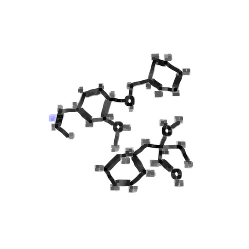 C/C=C\c1ccc(OCc2ccccc2)c(OC)c1.CCC([C]=O)(Cc1ccccc1)OC